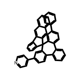 c1ccc(-c2ccc3c(c2)C2(c4cc(-c5ccncc5)ccc4-c4ccccc4-3)c3ccccc3-c3cc4ccccc4cc32)cc1